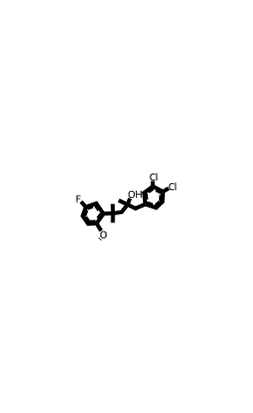 COc1ccc(F)cc1C(C)(C)CC(C)(O)Cc1ccc(Cl)c(Cl)c1